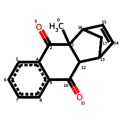 CC12C(=O)c3ccccc3C(=O)C1C1C=CC2C1